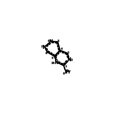 CC(C)c1ncc2cnncc2n1